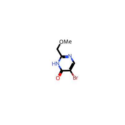 COCc1ncc(Br)c(=O)[nH]1